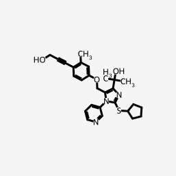 Cc1cc(OCc2c(C(C)(C)O)nc(SC3CCCC3)n2-c2cccnc2)ccc1C#CCO